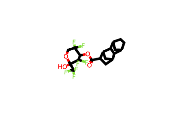 O=C(OC1C(F)(F)COC(O)(C(F)(F)F)C1(F)F)C1CC2CC1C1C3CCC(C3)C21